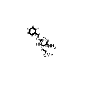 CSCC[C@@H](NC(=O)OCc1ccccc1)C(N)=O